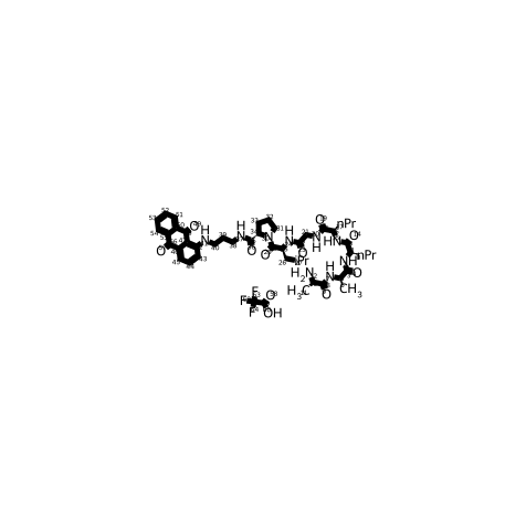 CCC[C@H](NC(=O)[C@H](C)NC(=O)[C@@H](C)N)C(=O)N[C@@H](CCC)C(=O)NCC(=O)N[C@@H](CC(C)C)C(=O)N1CCC[C@H]1C(=O)NCCCNc1cccc2c1C(=O)c1ccccc1C2=O.O=C(O)C(F)(F)F